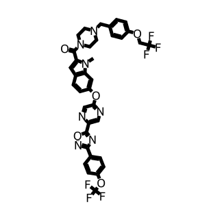 Cn1c(C(=O)N2CCN(Cc3ccc(OCC(F)(F)F)cc3)CC2)cc2ccc(Oc3cnc(-c4nc(-c5ccc(OC(F)(F)F)cc5)no4)cn3)cc21